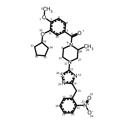 COc1ccc(C(=O)N2CCN(c3nc(Cc4ccccc4[N+](=O)[O-])ns3)CC2C)cc1OC1CCCC1